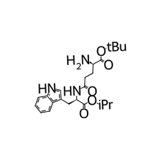 CC(C)OC(=O)[C@@H](Cc1c[nH]c2ccccc12)NC(=O)CC[C@@H](N)C(=O)OC(C)(C)C